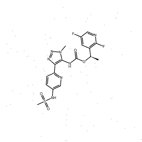 C[C@@H](OC(=O)Nc1c(-c2ccc(NS(C)(=O)=O)cn2)nnn1C)c1cc(F)cnc1F